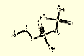 CC(C)SOP(=O)(O)OP(=O)(O)O